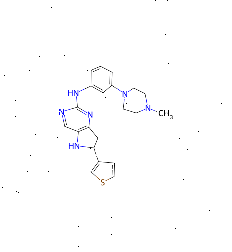 CN1CCN(c2cccc(Nc3ncc4c(n3)CC(c3ccsc3)N4)c2)CC1